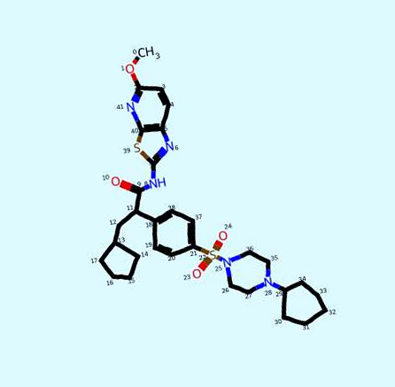 COc1ccc2nc(NC(=O)C(CC3CCCC3)c3ccc(S(=O)(=O)N4CCN(C5CCCCC5)CC4)cc3)sc2n1